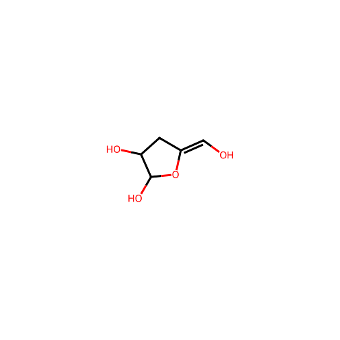 O/C=C1/CC(O)C(O)O1